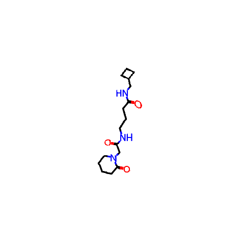 O=C(CCCNC(=O)CN1CCCCC1=O)NCC1CCC1